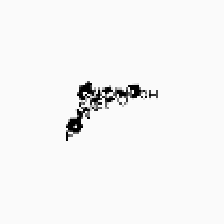 CCC1(N2CCN(CC(=O)N3CCC(O)C3)CC2)N=C2C(C)=CC=CN2C1N(C)c1nc(-c2ccc(F)cc2)cs1